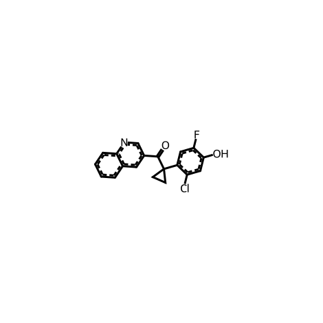 O=C(c1cnc2ccccc2c1)C1(c2cc(F)c(O)cc2Cl)CC1